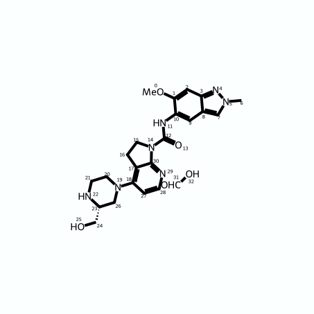 COc1cc2nn(C)cc2cc1NC(=O)N1CCc2c(N3CCN[C@@H](CO)C3)ccnc21.O=CO